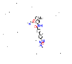 COc1ccc(NC(=O)c2ccc(-c3ccc(-c4noc(N(C)C)n4)cc3C)cc2)cc1OCCN(C)C